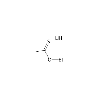 CCOC(C)=S.[LiH]